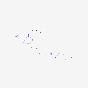 CCC(=O)NC1CN(S(=O)(=O)N(C)c2ccc3c(c2)nc(C(C)(C)C)n3CC2CCOCC2)C1